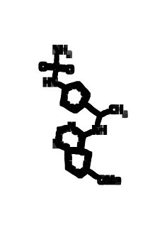 COc1ccc2ncnc(NC(C)c3ccc(NS(N)(=O)=O)cc3)c2c1